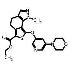 CCOC(=O)c1sc(Oc2cncc(N3CCOCC3)c2)c2c1CCc1cnn(C)c1-2